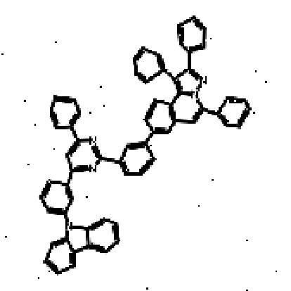 c1ccc(-c2cc(-c3cccc(-n4c5ccccc5c5ccccc54)c3)nc(-c3cccc(-c4ccc5c(c4)cc(-c4ccccc4)n4nc(-c6ccccc6)c(-c6ccccc6)c54)c3)n2)cc1